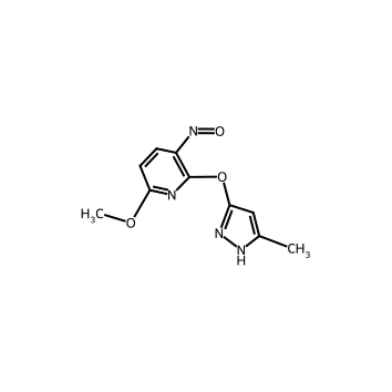 COc1ccc(N=O)c(Oc2cc(C)[nH]n2)n1